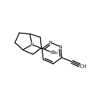 C#Cc1ccc(N2C3CCC2CC(C(C)(C)C)C3)nn1